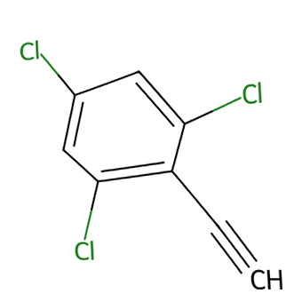 C#Cc1c(Cl)cc(Cl)cc1Cl